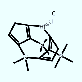 C[Si](C)(C)C1=[C]2CC=C1[Si](C)(C)C1=CC[C](=C1[Si](C)(C)C)[Hf+2]2.[Cl-].[Cl-]